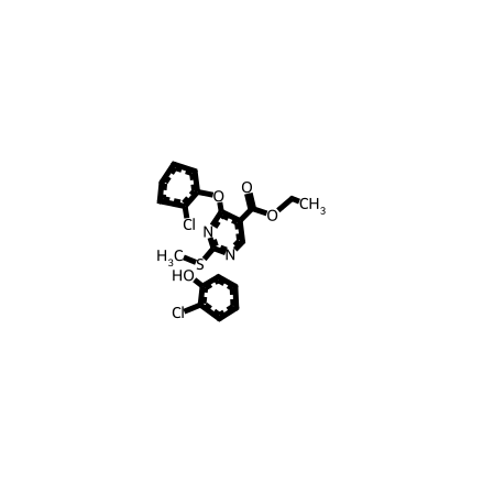 CCOC(=O)c1cnc(SC)nc1Oc1ccccc1Cl.Oc1ccccc1Cl